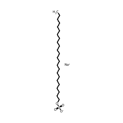 CCCCCCCCCCCCCCCCCCCCCCCCOS(=O)(=O)[O-].[Na+]